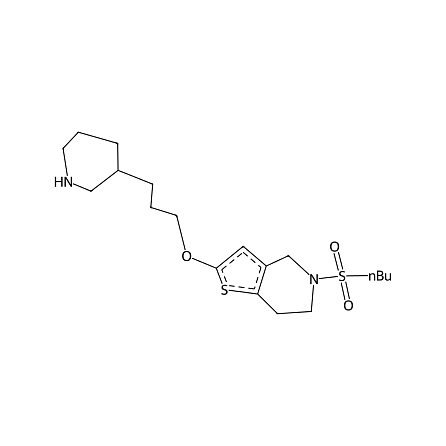 CCCCS(=O)(=O)N1CCc2sc(OCCCC3CCCNC3)cc2C1